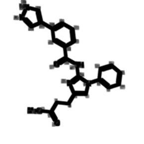 COC(=O)CCc1cn(-c2ccccc2)c(NC(=O)c2cccc(-c3cn[nH]c3)c2)n1